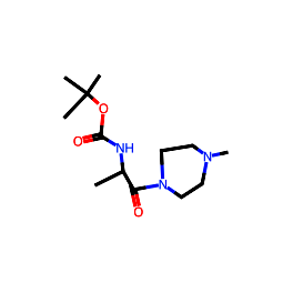 CC(NC(=O)OC(C)(C)C)C(=O)N1CCN(C)CC1